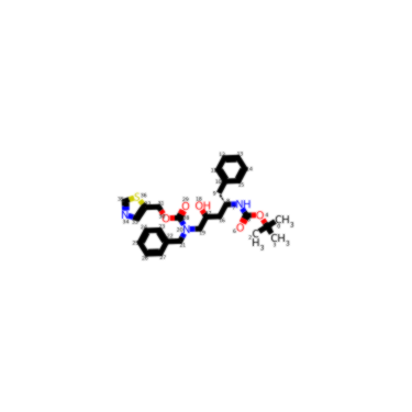 CC(C)(C)OC(=O)N[C@@H](Cc1ccccc1)CC(O)CN(Cc1ccccc1)C(=O)OCc1cncs1